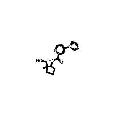 CC1(CO)CCCC1NC(=O)c1cc(-n2ccnc2)ccn1